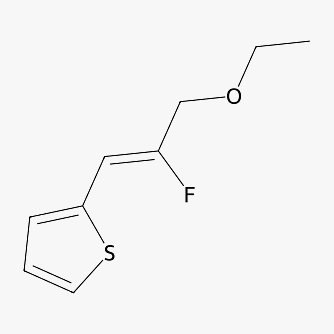 CCOCC(F)=Cc1cccs1